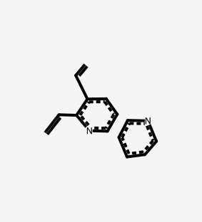 C=Cc1cccnc1C=C.c1ccncc1